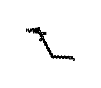 CCCCCCCCCC/C=C\CCCCCCCCCCCC(=O)OCC(O)COP(=O)(O)OCCN